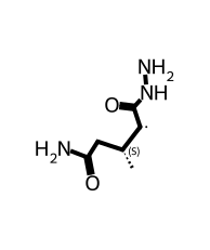 C[C@@H]([CH]C(=O)NN)CC(N)=O